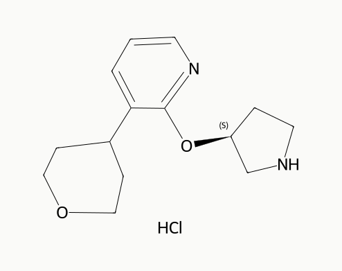 Cl.c1cnc(O[C@H]2CCNC2)c(C2CCOCC2)c1